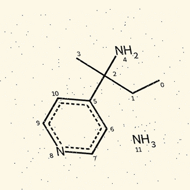 CCC(C)(N)c1ccncc1.N